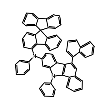 c1ccc(N(c2ccc3c4c(-c5cccc6ccccc56)cc5ccccc5c4n(-c4ccccc4)c3c2)c2cccc3c2-c2ccccc2C32c3ccccc3-c3ccccc32)cc1